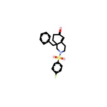 O=C1C=C2CCN(S(=O)(=O)c3ccc(F)cc3)CC2(Cc2ccccc2)CC1